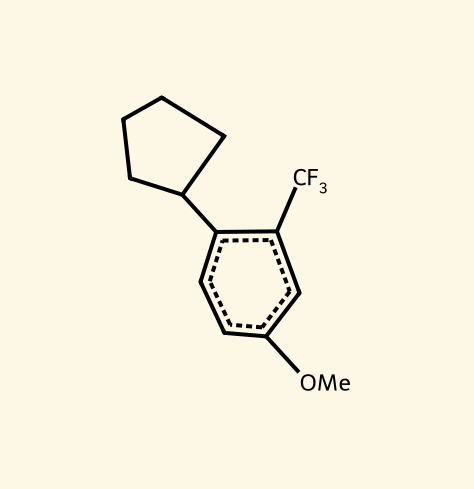 COc1ccc(C2CCCC2)c(C(F)(F)F)c1